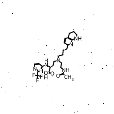 CC(=O)NCCN(CCCCc1ccc2c(n1)NCCC2)CC[C@H](Nc1ccnc(C(F)(F)F)n1)C(=O)O